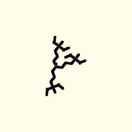 CO[Si](C)(CCC[SiH](CCC[Si](C)(OC)OC)CCC[Si](C)(OC)OC)OC